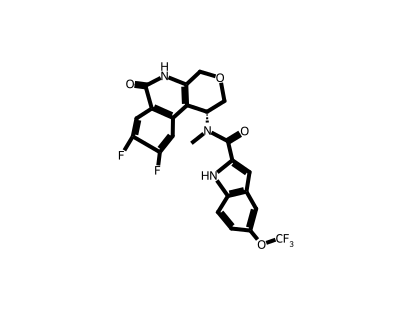 CN(C(=O)c1cc2cc(OC(F)(F)F)ccc2[nH]1)[C@H]1COCc2[nH]c(=O)c3cc(F)c(F)cc3c21